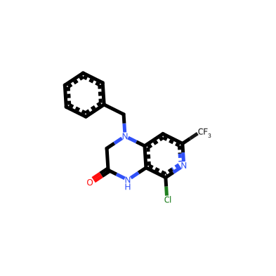 O=C1CN(Cc2ccccc2)c2cc(C(F)(F)F)nc(Cl)c2N1